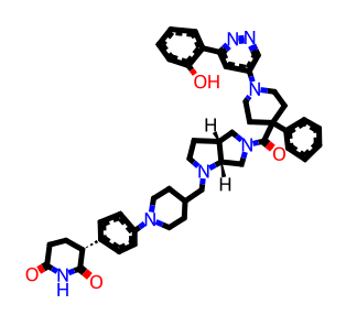 O=C1CC[C@H](c2ccc(N3CCC(CN4CC[C@@H]5CN(C(=O)C6(c7ccccc7)CCN(c7cnnc(-c8ccccc8O)c7)CC6)C[C@@H]54)CC3)cc2)C(=O)N1